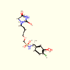 C[C@@H](NS(=O)(=O)COCCCN1CC(=O)NC1=O)c1ccc(F)c(O)c1